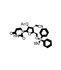 CC(=O)O[C@H]1C(n2ccc(=O)[nH]c2=O)O[C@H](CO[Si](c2ccccc2)(c2ccccc2)C(C)(C)C)[C@H]1CC#N